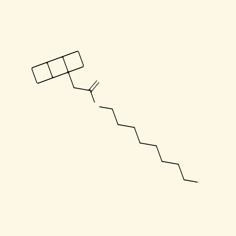 O=C(CC12C3C4C5C3C1C5C42)OCCCCCCCCBr